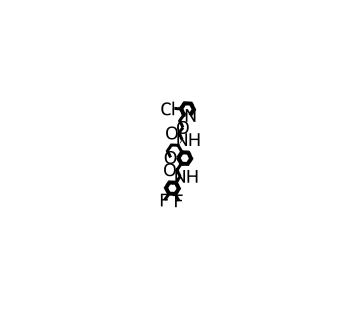 O=C(N[C@H]1CCOc2c(C(=O)Nc3ccc(F)c(F)c3)cccc21)OCc1ncccc1Cl